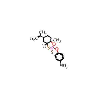 C=C(C)[C@H]1CC[C@@]2(C)O[P@](=S)(Oc3ccc([N+](=O)[O-])cc3)S[C@@H]2C1